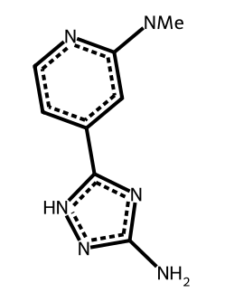 CNc1cc(-c2nc(N)n[nH]2)ccn1